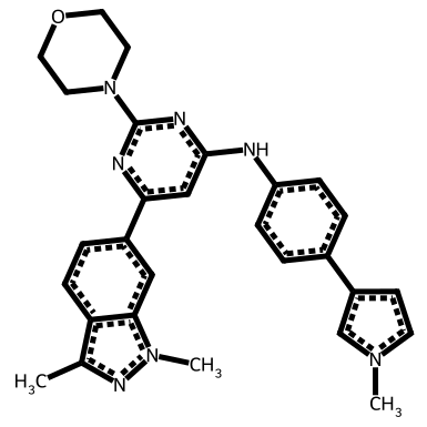 Cc1nn(C)c2cc(-c3cc(Nc4ccc(-c5ccn(C)c5)cc4)nc(N4CCOCC4)n3)ccc12